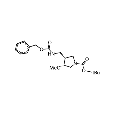 CO[C@H]1CN(C(=O)OC(C)(C)C)C[C@@H]1CNC(=O)OCc1ccccc1